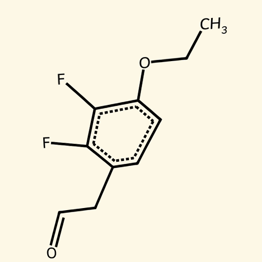 CCOc1ccc(CC=O)c(F)c1F